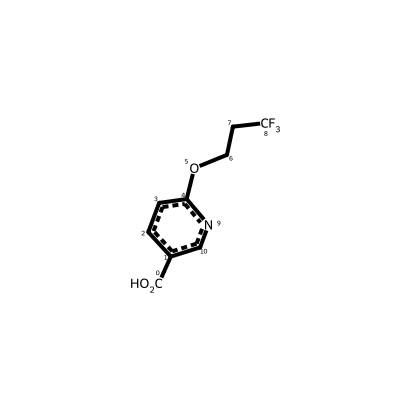 O=C(O)c1ccc(OCCC(F)(F)F)nc1